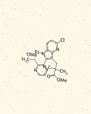 CCn1c(-c2cccnc2[C@H](C)OC)c(CC(C)(C)C(=O)OC)c2nc(Cl)ccc21